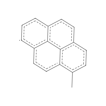 Cc1ccc2ccc3cc[c]c4ccc1c2c43